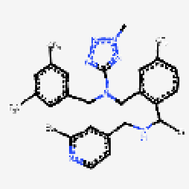 CCc1cc(CNC(CC)c2ccc(C(F)(F)F)cc2CN(Cc2cc(C(F)(F)F)cc(C(F)(F)F)c2)c2nnn(C)n2)ccn1